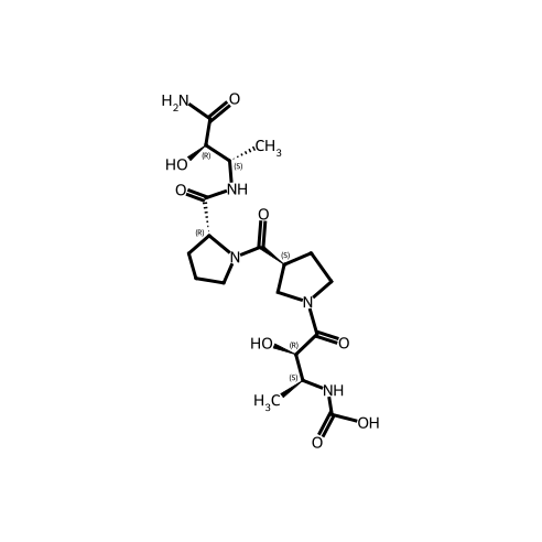 C[C@H](NC(=O)[C@H]1CCCN1C(=O)[C@H]1CCN(C(=O)[C@H](O)[C@H](C)NC(=O)O)C1)[C@@H](O)C(N)=O